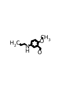 C=CCNc1ccc(OC)c(C=O)c1